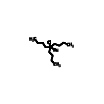 CCCC[P](Cl)([Au])(CCCC)CCCC